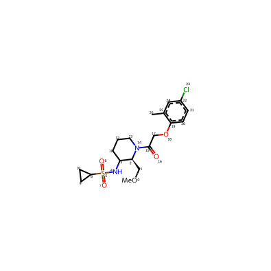 COC[C@H]1C(NS(=O)(=O)C2CC2)CCCN1C(=O)COc1ccc(Cl)cc1C